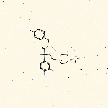 Cc1ccc(CN(C)C(=O)C(C)(CCN2CCN(S(C)(=O)=O)[C@H](C)C2)c2ccc(Cl)c(Cl)c2)cc1